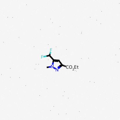 CCOC(=O)c1cc(C(F)F)n(C)n1